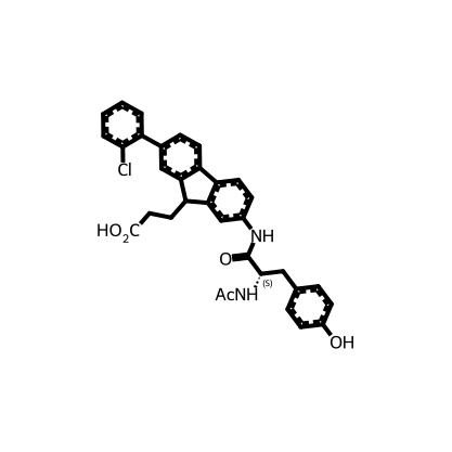 CC(=O)N[C@@H](Cc1ccc(O)cc1)C(=O)Nc1ccc2c(c1)C(CCC(=O)O)c1cc(-c3ccccc3Cl)ccc1-2